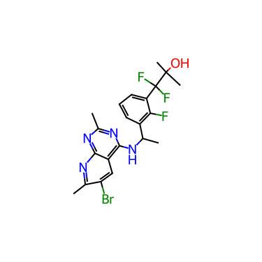 Cc1nc(NC(C)c2cccc(C(F)(F)C(C)(C)O)c2F)c2cc(Br)c(C)nc2n1